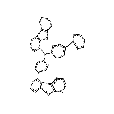 c1ccc(-c2ccc(N(c3ccc(-c4cccc5oc6ncccc6c45)cc3)c3cccc4c3sc3ccccc34)cc2)cc1